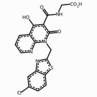 O=C(O)CNC(=O)c1c(O)c2cccnc2n(Cc2nc3cc(Cl)ccc3s2)c1=O